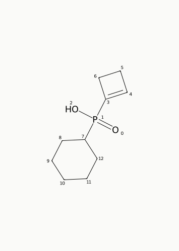 O=P(O)(C1=CCC1)C1CCCCC1